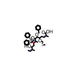 C/C=C(/C)C(O)C/C=C(\C)C(O[Si](c1ccccc1)(c1ccccc1)C(C)(C)C)C(OCc1ccccc1)C(C/C=C(/C)C(=O)O)OCSC